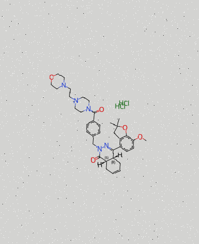 COc1ccc(C2=NN(Cc3ccc(C(=O)N4CCN(CCN5CCOCC5)CC4)cc3)C(=O)[C@H]3CC=CC[C@@H]23)c2c1OC(C)(C)C2.Cl.Cl